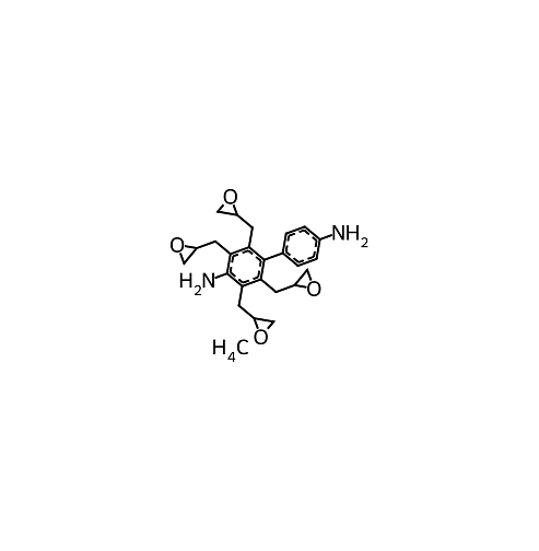 C.Nc1ccc(-c2c(CC3CO3)c(CC3CO3)c(N)c(CC3CO3)c2CC2CO2)cc1